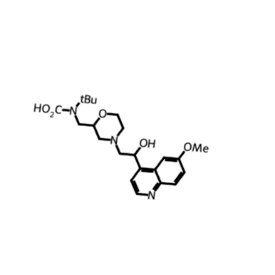 COc1ccc2nccc(C(O)CN3CCOC(CN(C(=O)O)C(C)(C)C)C3)c2c1